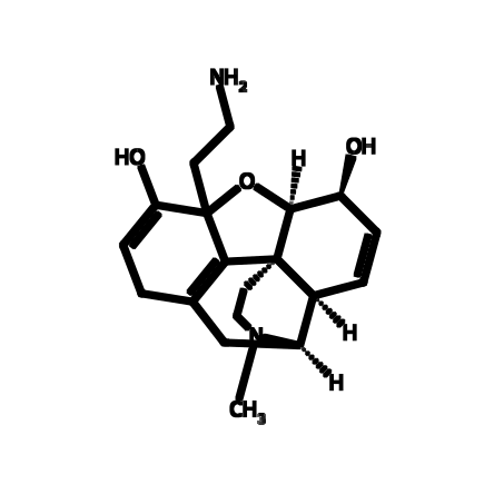 CN1CC[C@]23C4=C5CC=C(O)C4(CCN)O[C@H]2[C@@H](O)C=C[C@H]3[C@H]1C5